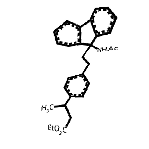 CCOC(=O)CC(C)c1ccc(CCC2(NC(C)=O)c3ccccc3-c3ccccc32)cc1